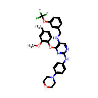 COc1cc(C)ccc1Oc1nc(Nc2ccc(N3CCOCC3)cc2)ncc1NCc1cccc(OC(F)(F)F)c1